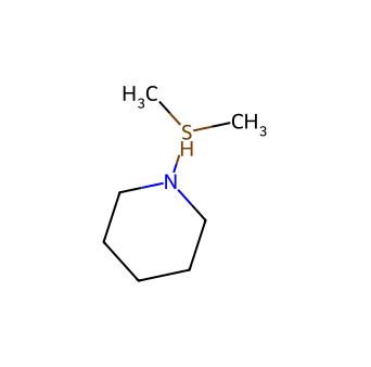 C[SH](C)N1CCCCC1